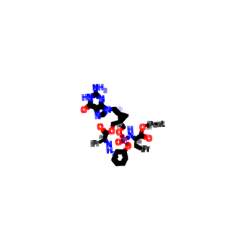 CCC[C@H](C)OC(=O)[C@H](CC(C)C)NP(=O)(OC[C@@]1(COC(=O)[C@@H](N)C(C)C)C/C1=C/n1cnc2c(=O)[nH]c(N)nc21)Oc1ccccc1